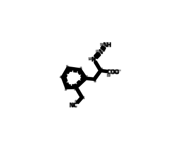 N#CCc1ccccc1CC(N=[N+]=N)C(=O)[O-]